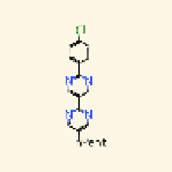 CCCCCc1cnc(-c2cnc(-c3ccc(Cl)cc3)nc2)nc1